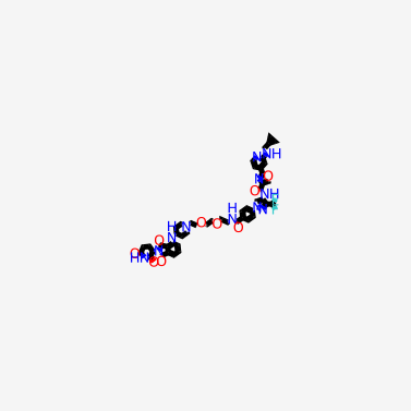 O=C1CCC(N2C(=O)c3cccc(NC4CCN(CCOCCOCCNC(=O)c5ccc(-n6cc(NC(=O)c7coc(-c8ccnc(NCC9CC9)c8)n7)c(C(F)F)n6)cc5)CC4)c3C2=O)C(=O)N1